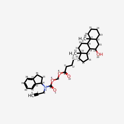 C#CCN(C(=O)OCOC(=O)CCC[C@H]1CCC2C3C(O)CC4CCCCC4(C)C3CCC21C)C1CCc2ccccc21